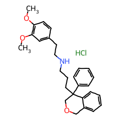 COc1ccc(CCNCCCC2(c3ccccc3)COCc3ccccc32)cc1OC.Cl